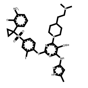 COc1c(Nc2cc(C)[nH]n2)nc(Sc2ccc(S(=O)(=O)C3(c4cccc([N+](=O)[O-])c4F)CC3)cc2F)nc1N1CCC(CCN(C)C)CC1